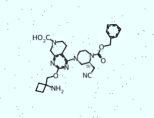 N#CC[C@H]1CN(c2nc(OCC3(N)CCC3)nc3c2CCN(C(=O)O)C3)CCN1C(=O)OCc1ccccc1